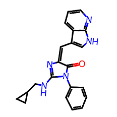 O=C1C(=Cc2c[nH]c3ncccc23)N=C(NCC2CC2)N1c1ccccc1